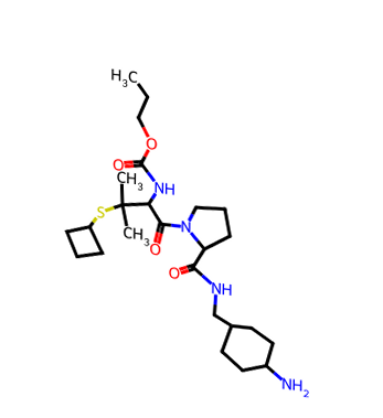 CCCOC(=O)NC(C(=O)N1CCCC1C(=O)NCC1CCC(N)CC1)C(C)(C)SC1CCC1